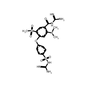 CN(C)c1cc(Oc2ccc(S(=O)(=O)NC(=N)N)cc2)c(S(C)(=O)=O)cc1C(=O)NC(=N)N